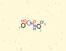 O=C(Nc1cc(F)cc(C(F)(F)F)c1)N1CCC(O)(c2ccc(F)cc2)CC1